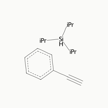 C#Cc1ccccc1.CC(C)[SiH](C(C)C)C(C)C